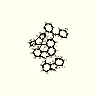 c1ccc(N(c2ccccc2)c2cc3c4c(ccc5c4c4c(cccc4n5-c4cccc5sc6ccccc6c45)C34c3ccccc3-c3ccccc34)c2)cc1